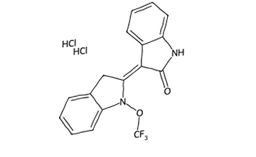 Cl.Cl.O=C1Nc2ccccc2C1=C1Cc2ccccc2N1OC(F)(F)F